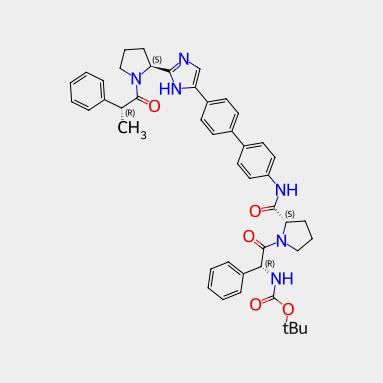 C[C@@H](C(=O)N1CCC[C@H]1c1ncc(-c2ccc(-c3ccc(NC(=O)[C@@H]4CCCN4C(=O)[C@H](NC(=O)OC(C)(C)C)c4ccccc4)cc3)cc2)[nH]1)c1ccccc1